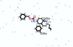 C=CC[N@@+]1(C)CC[C@@]2(c3cccc(OC)c3)C[C@H](NC(=O)OCc3ccccc3)CCC2(OC)C1